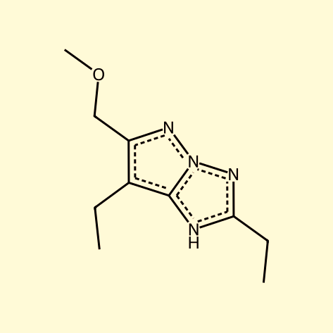 CCc1nn2nc(COC)c(CC)c2[nH]1